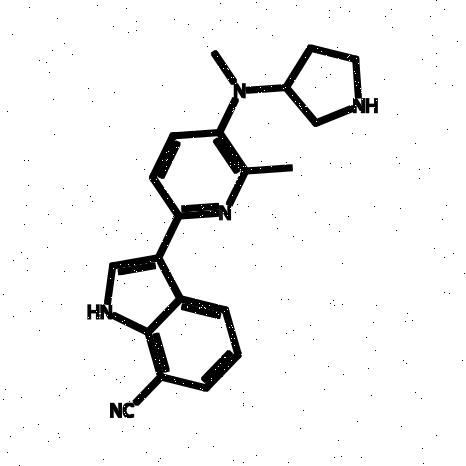 Cc1nc(-c2c[nH]c3c(C#N)cccc23)ccc1N(C)C1CCNC1